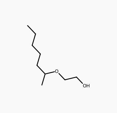 CCCCCC(C)OCCO